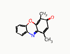 Cc1cc(=O)c(C)c2oc3ccccc3nc1-2